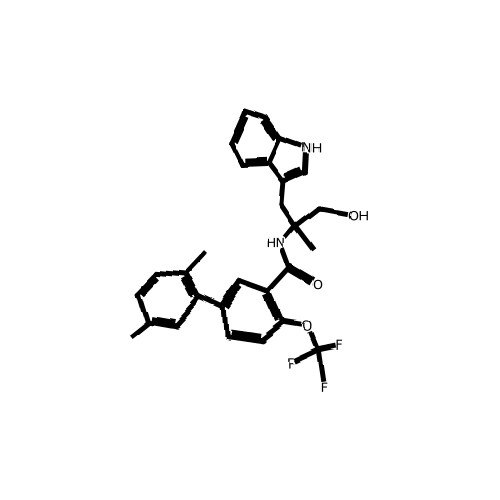 Cc1ccc(C)c(-c2ccc(OC(F)(F)F)c(C(=O)NC(C)(CO)Cc3c[nH]c4ccccc34)c2)c1